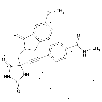 CNC(=O)c1ccc(C#C[C@]2(CN3Cc4ccc(OC)cc4C3=O)NC(=O)NC2=O)cc1